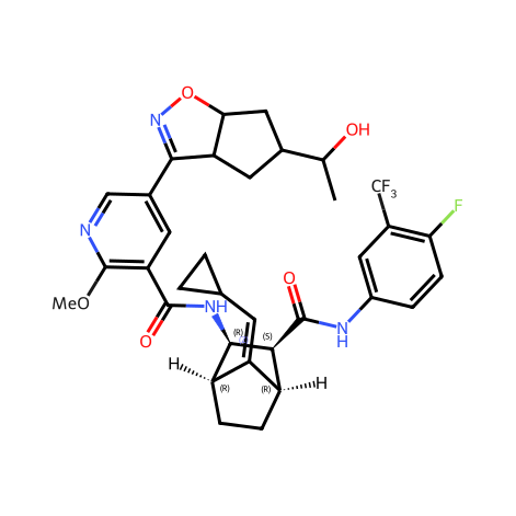 COc1ncc(C2=NOC3CC(C(C)O)CC23)cc1C(=O)N[C@H]1[C@@H](C(=O)Nc2ccc(F)c(C(F)(F)F)c2)[C@H]2CC[C@@H]1/C2=C\C1CC1